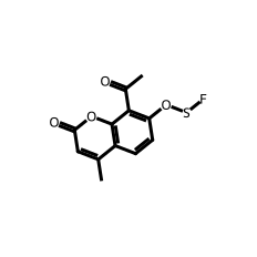 CC(=O)c1c(OSF)ccc2c(C)cc(=O)oc12